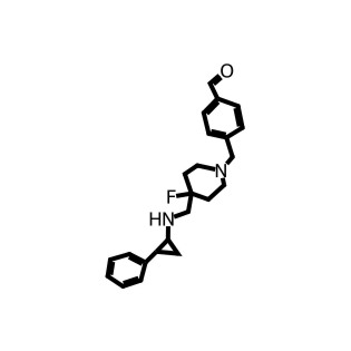 O=Cc1ccc(CN2CCC(F)(CNC3CC3c3ccccc3)CC2)cc1